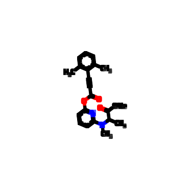 COC(=O)C(C)N(C)c1cccc(OC(=O)C#Cc2c(C)cccc2C)n1